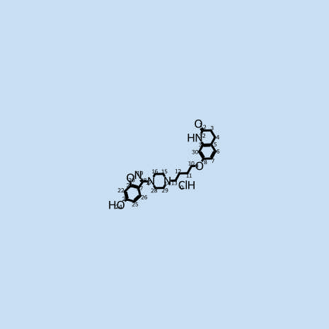 Cl.O=C1CCc2ccc(OCCCCN3CCN(c4noc5cc(O)ccc45)CC3)cc2N1